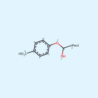 CCCCCC(O)Oc1ccc(C(=O)O)cc1